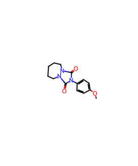 COc1ccc(-n2c(=O)n3n(c2=O)CCCCC3)cc1